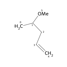 [CH2]C(CC=C)OC